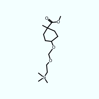 COC(=O)C1(C)CCC(OCOCC[Si](C)(C)C)CC1